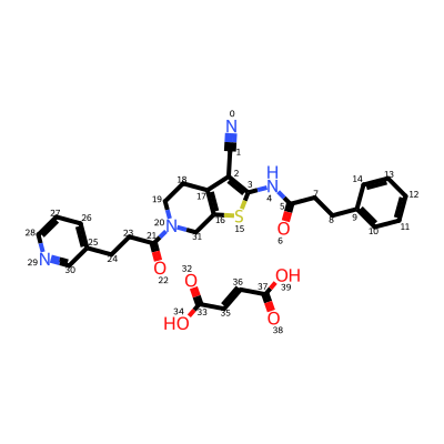 N#Cc1c(NC(=O)CCc2ccccc2)sc2c1CCN(C(=O)CCc1cccnc1)C2.O=C(O)C=CC(=O)O